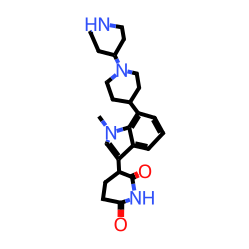 Cn1cc(C2CCC(=O)NC2=O)c2cccc(C3CCN(C4CCNCC4)CC3)c21